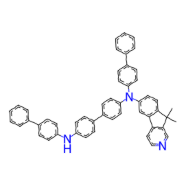 CC1(C)c2ccc(N(c3ccc(-c4ccccc4)cc3)c3ccc(-c4ccc(Nc5ccc(-c6ccccc6)cc5)cc4)cc3)cc2-c2ccncc21